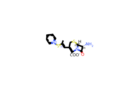 C/C(=C\C1=C(C(=O)[O-])N2C(=O)[C@@H](N)[C@@H]2SC1)S[n+]1ccccc1